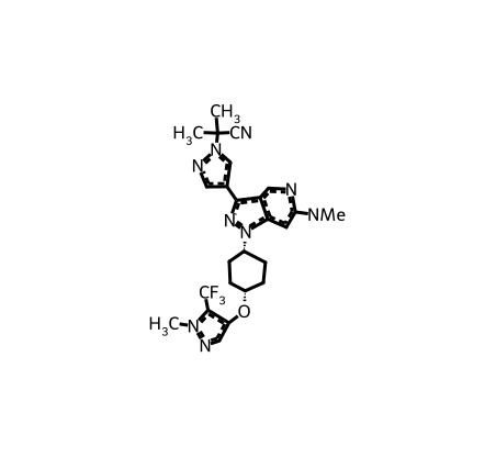 CNc1cc2c(cn1)c(-c1cnn(C(C)(C)C#N)c1)nn2[C@H]1CC[C@@H](Oc2cnn(C)c2C(F)(F)F)CC1